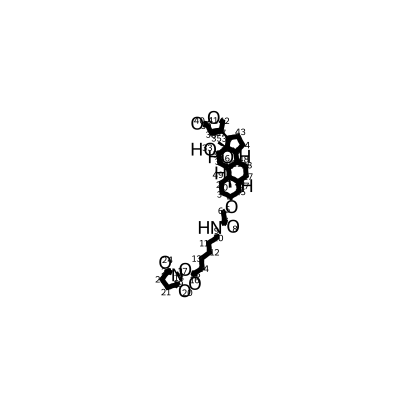 C[C@]12CC[C@H](OCC(=O)NCCCCCC(=O)ON3C(=O)CCC3=O)C[C@H]1CC[C@@H]1[C@@H]2C[C@@H](O)[C@]2(C)[C@@H](C3=CC(=O)OC3)CC[C@]12O